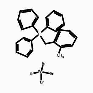 Cc1ccccc1C[P+](c1ccccc1)(c1ccccc1)c1ccccc1.[Br][Fe-]([Br])([Br])[Br]